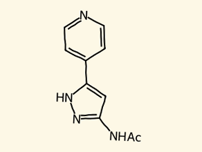 CC(=O)Nc1cc(-c2ccncc2)[nH]n1